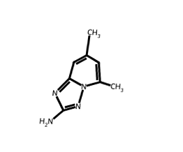 Cc1cc(C)n2nc(N)nc2c1